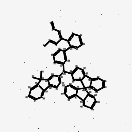 C=C/C=C(\C=C\C)c1ccccc1-c1cccc(N(c2ccc3c(c2)C(C)(C)c2ccccc2-3)c2ccc3c(c2)C2(c4ccccc4-c4ccccc42)c2ccccc2-3)c1